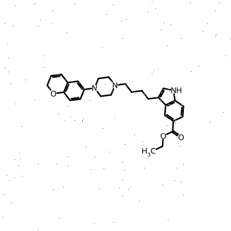 CCOC(=O)c1ccc2[nH]cc(CCCCN3CCN(c4ccc5c(c4)C=CCO5)CC3)c2c1